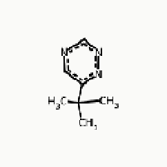 CC(C)(C)c1cn[c]nn1